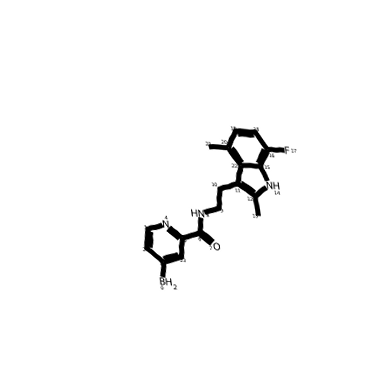 Bc1ccnc(C(=O)NCCc2c(C)[nH]c3c(F)ccc(C)c23)c1